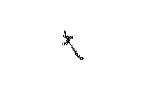 C#CCOCCOCCOCCOCCOCCCCn1c(CN2C(=O)C3(CCN(C(=O)CCN4CCCC4)CC3)c3ccncc32)nc2cc(Cl)ccc21